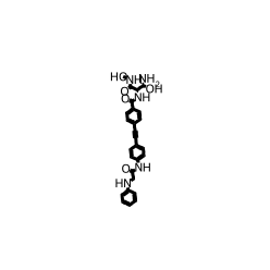 N[C@@H](O)[C@H](NC(=O)c1ccc(C#Cc2ccc(NC(=O)CNc3ccccc3)cc2)cc1)C(=O)NO